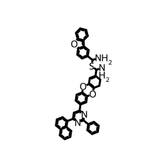 NC(SC(N)c1ccc2oc3ccccc3c2c1)C1=CC2=C(CC1)Oc1cc(-c3cc(-c4cccc5ccccc45)nc(-c4ccccc4)n3)ccc1O2